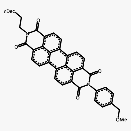 CCCCCCCCCCCCN1C(=O)c2ccc3c4ccc5c6c(ccc(c7ccc(c2c37)C1=O)c64)C(=O)N(c1ccc(COC)cc1)C5=O